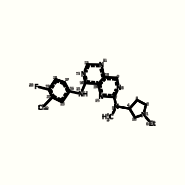 CCN1CCC(N(C)c2ncc3ncnc(Nc4ccc(F)c(Cl)c4)c3n2)C1